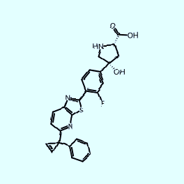 O=C(O)[C@@H]1C[C@@](O)(c2ccc(-c3nc4ccc(C5(c6ccccc6)C=C5)nc4s3)c(F)c2)CN1